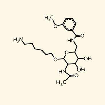 COc1cccc(C(=O)NCC2OC(OCCCCCCN)C(NC(C)=O)C(O)C2O)c1